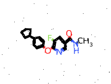 CNC(=O)c1cnc(Oc2ccc(C3CCCC3)cc2)c(F)c1